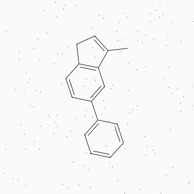 CC1=CCc2ccc(-c3ccccc3)cc21